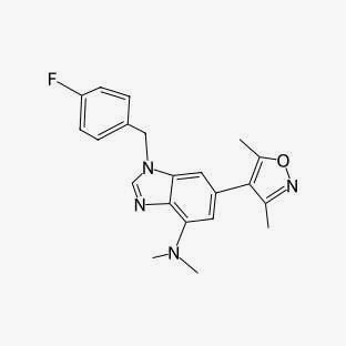 Cc1noc(C)c1-c1cc(N(C)C)c2ncn(Cc3ccc(F)cc3)c2c1